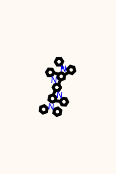 c1ccc(N(c2ccccc2)c2ccc3c4cc5c(cc4n4c6ccccc6c2c34)c2cc3c4ccccc4n(-c4ccccc4)c3c3c4ccccc4n5c23)cc1